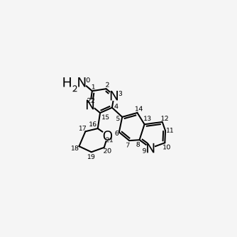 Nc1cnc(-c2ccc3ncccc3c2)c(C2CCCCO2)n1